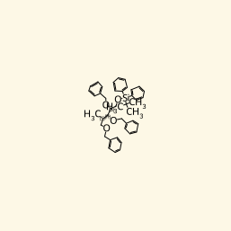 C[C@@H](COCc1ccccc1)[C@@H](OCc1ccccc1)[C@H](CO[Si](c1ccccc1)(c1ccccc1)C(C)(C)C)OCc1ccccc1